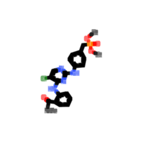 CCOP(=O)(Cc1ccc(Nc2ncc(Cl)c(Nc3ccccc3C(=O)NC)n2)cc1)OCC